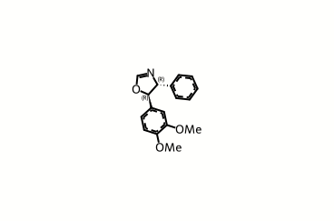 COc1ccc([C@H]2OC=N[C@@H]2c2ccccc2)cc1OC